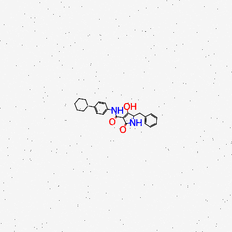 O=C(Nc1ccc(C2CCCCC2)cc1)C1=C(O)C(Cc2ccccc2)NC1=O